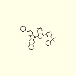 CC1(C)c2ccccc2-c2c(-c3ccc(-n4c5ccc(-c6ccccc6)cc5c5cc6ccccc6cc54)c4cnncc34)cccc21